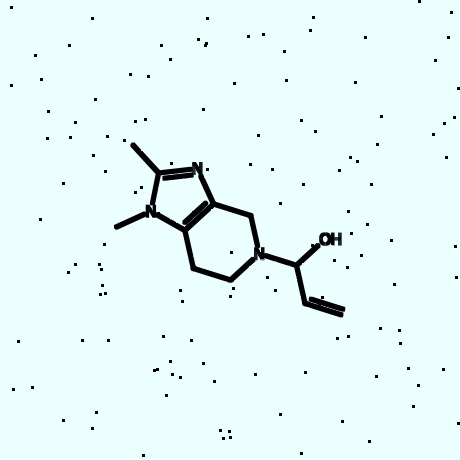 C=CC(O)N1CCc2c(nc(C)n2C)C1